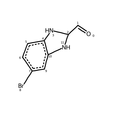 O=CC1Nc2ccc(Br)cc2N1